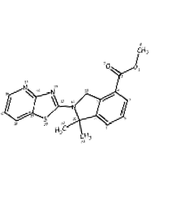 COC(=O)c1cccc2c1CN(c1nc3ncccc3s1)C2(C)C